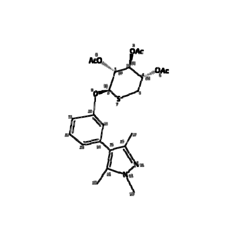 CC(=O)O[C@@H]1[C@@H](OC(C)=O)[C@H](OC(C)=O)CS[C@H]1Oc1cccc(-c2c(C)nn(C)c2C)c1